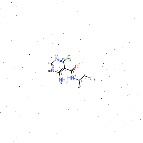 CC(CCl)NC(=O)c1c(N)ncnc1Cl